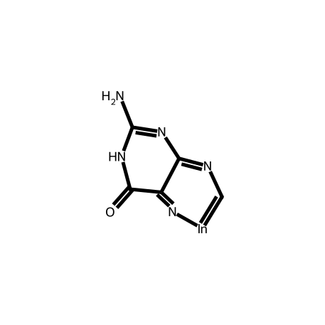 Nc1nc2c(c(=O)[nH]1)=[N][In]=[CH]N=2